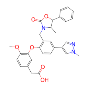 COc1ccc(CC(=O)O)cc1Oc1ccc(-c2cnn(C)c2)cc1CN1C(=O)OC(c2ccccc2)C1C